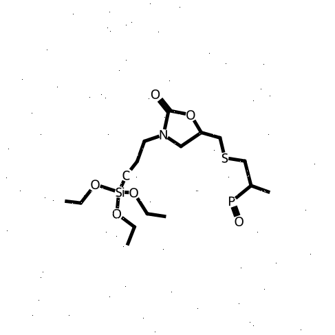 CCO[Si](CCCN1CC(CSCC(C)P=O)OC1=O)(OCC)OCC